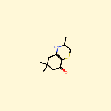 CC1CSC2=C(CC(C)(C)CC2=O)N1